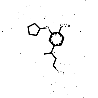 COc1ccc(C(C)CCN)cc1OC1CCCC1